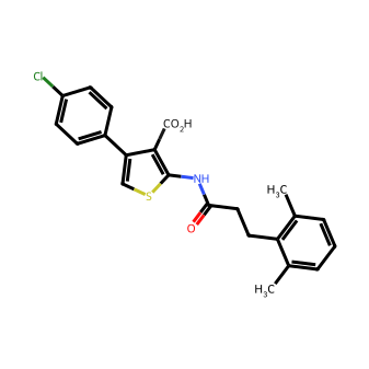 Cc1cccc(C)c1CCC(=O)Nc1scc(-c2ccc(Cl)cc2)c1C(=O)O